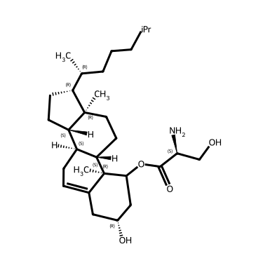 CC(C)CCC[C@@H](C)[C@H]1CC[C@H]2[C@@H]3CC=C4C[C@@H](O)CC(OC(=O)[C@@H](N)CO)[C@]4(C)[C@H]3CC[C@]12C